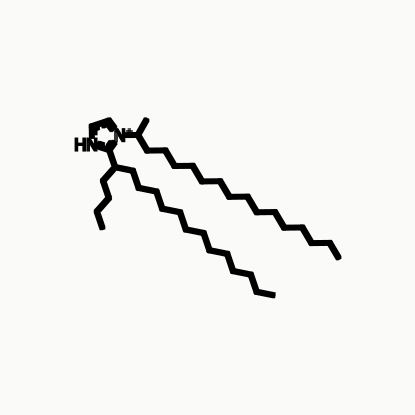 CCCCCCCCCCCCCCCC(C)[n+]1cc[nH]c1C(CCCC)CCCCCCCCCCCCC